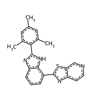 Cc1cc(C)c(-c2nc3cccc(-c4nc5ccncc5s4)c3[nH]2)c(C)c1